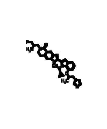 CC(Cn1ccnc1)Oc1cccc2cc(-c3nc4cc5c(cc4n3C)CCN(CC(N)CF)C5=O)n(CC3CC3)c12